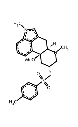 CO[C@]12C[C@@H](CS(=O)(=O)c3ccc(C)cc3)CN(C)[C@@H]1Cc1cn(C)c3cccc2c13